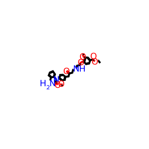 CCOC(=O)c1ccc(OCCNCCC(=O)Cc2ccc(N(C(N)=O)c3ccccc3C)c(OC)c2)c(OC)c1